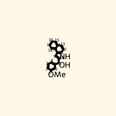 COc1cccc(C(O)c2cc3c(ccc4ccccc43)[nH]2)c1